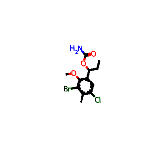 CCC(OC(N)=O)c1cc(Cl)c(C)c(Br)c1OC